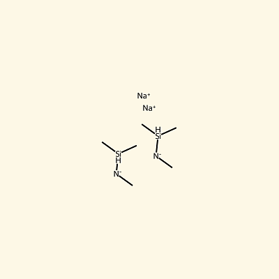 C[N-][SiH](C)C.C[N-][SiH](C)C.[Na+].[Na+]